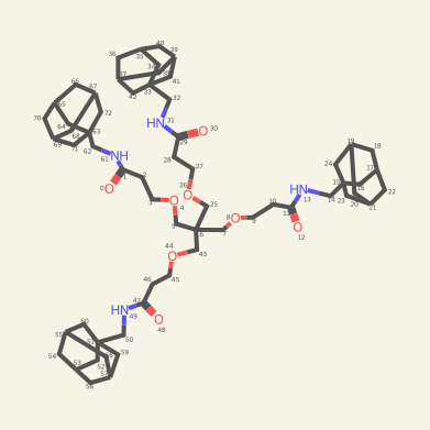 O=C(CCOCC(COCCC(=O)NCC12CC3CC(CC(C3)C1)C2)(COCCC(=O)NCC12CC3CC(CC(C3)C1)C2)COCCC(=O)NCC12CC3CC(CC(C3)C1)C2)NCC12CC3CC(CC(C3)C1)C2